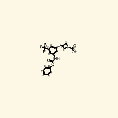 O=C(Nc1cc(OC2CN(C(=O)O)C2)cc(C(F)(F)F)c1)Oc1ccccc1